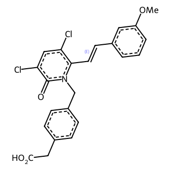 COc1cccc(/C=C/c2c(Cl)cc(Cl)c(=O)n2Cc2ccc(CC(=O)O)cc2)c1